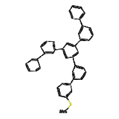 CSSc1cccc(-c2cccc(-c3cc(-c4cccc(-c5ccccc5)c4)cc(-c4cccc(-c5ccccc5)c4)c3)c2)c1